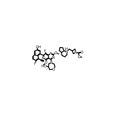 C#Cc1c(F)ccc2cc(O)cc(-c3nc(OC)c4c(N5CCOC[C@@](C)(O)C5)nc(OC[C@]56CCC[C@H]5N(CC5CN(C(=O)OC)C5)CCC6)nc4c3F)c12